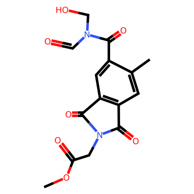 COC(=O)CN1C(=O)c2cc(C)c(C(=O)N(C=O)CO)cc2C1=O